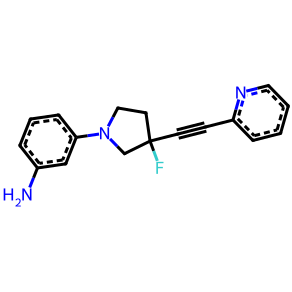 Nc1cccc(N2CCC(F)(C#Cc3ccccn3)C2)c1